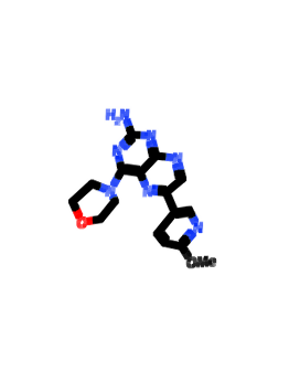 COc1ccc(-c2cnc3nc(N)nc(N4CCOCC4)c3n2)cn1